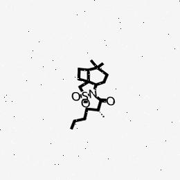 CCCC[C@@H](C)C(=O)N1C2CCC(C)(C)C3CCC23CS1(=O)=O